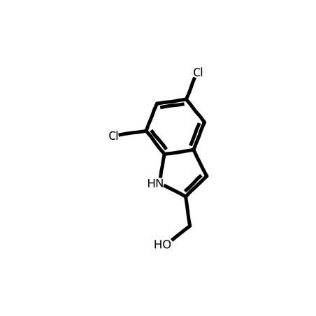 OCc1cc2cc(Cl)cc(Cl)c2[nH]1